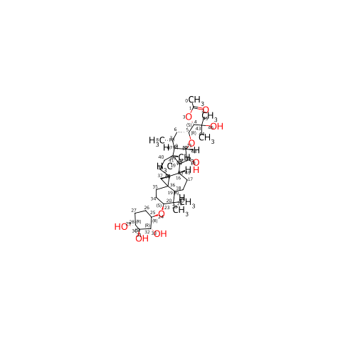 CC(=O)O[C@@H]([C@H]1C[C@@H](C)[C@H]2[C@H](O1)[C@H](O)[C@@]1(C)[C@@H]3CC[C@H]4C(C)(C)[C@@H](O[C@@H]5CC[C@@H](O)[C@H](O)[C@H]5O)CCC45C[C@@]35CC[C@]21C)C(C)(C)O